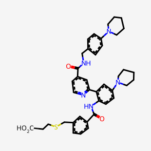 O=C(O)CCSCc1cccc(C(=O)Nc2ccc(N3CCCCC3)cc2-c2cc(C(=O)NCc3ccc(N4CCCCC4)cc3)ccn2)c1